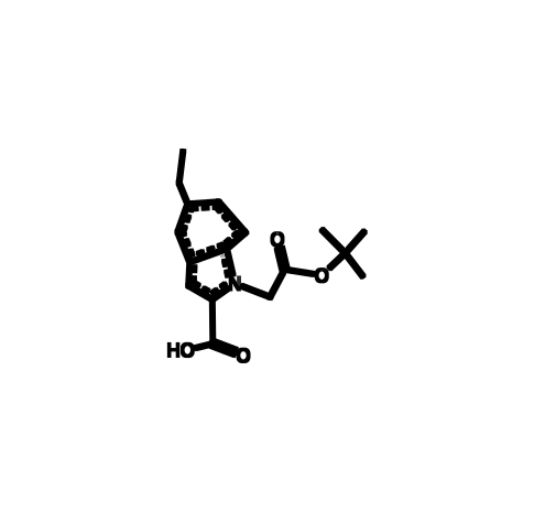 CCc1ccc2c(c1)cc(C(=O)O)n2CC(=O)OC(C)(C)C